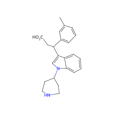 Cc1cccc(C(CC(=O)O)c2cn(C3CCNCC3)c3ccccc23)c1